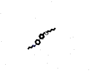 CCC/C=C/[C@H]1CC[C@H](c2ccc(COCCCCC)cc2)CC1